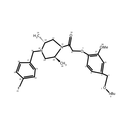 CCCCOCc1ccc(OCC(=O)N2C[C@@H](C)N(Cc3ccc(F)cc3)C[C@@H]2C)c(OC)c1